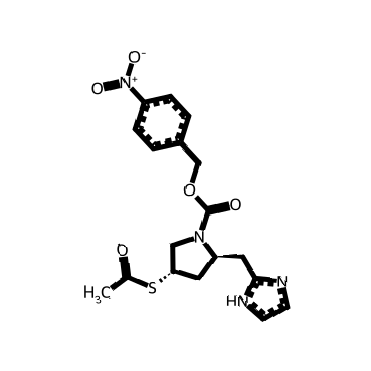 CC(=O)S[C@H]1C[C@H](Cc2ncc[nH]2)N(C(=O)OCc2ccc([N+](=O)[O-])cc2)C1